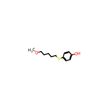 COCCCCCSc1ccc(O)cc1